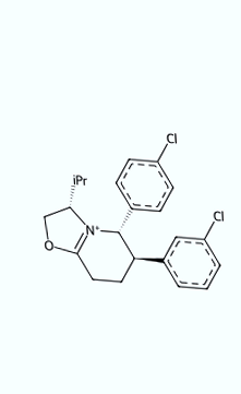 CC(C)[C@H]1COC2=[N+]1[C@H](c1ccc(Cl)cc1)[C@@H](c1cccc(Cl)c1)CC2